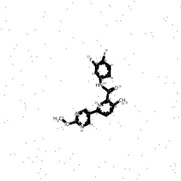 COc1ncc(-c2ccc(C)c(C(=O)Nc3ccc(F)c(F)c3)n2)cn1